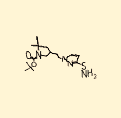 CC(C)(C)OC(=O)N1CC(CCn2ccc(SN)n2)CC1(C)C